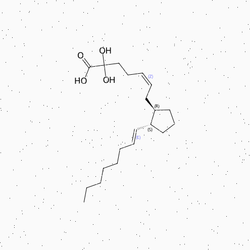 CCCCCC/C=C/[C@H]1CCC[C@@H]1C/C=C\CCC(O)(O)C(=O)O